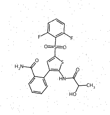 CC(O)C(=O)Nc1sc(S(=O)(=O)c2c(F)cccc2F)cc1-c1ccccc1C(N)=O